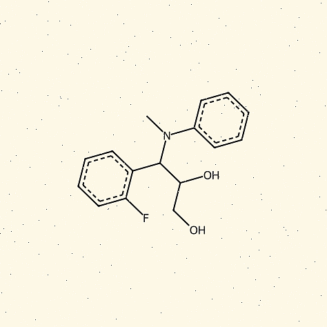 CN(c1ccccc1)C(c1ccccc1F)C(O)CO